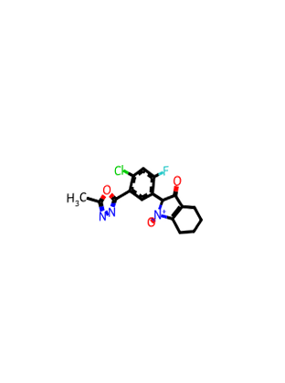 Cc1nnc(-c2cc(C3C(=O)C4=C(CCCC4)[N+]3=O)c(F)cc2Cl)o1